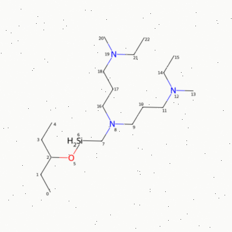 CCC(CC)O[SiH2]CN(CCCN(C)CC)CCCN(C)CC